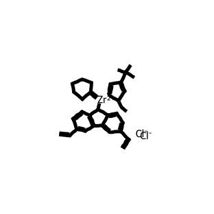 C=Cc1ccc2c(c1)-c1cc(C=C)ccc1[CH]2[Zr+2]([C]1=CC(C(C)(C)C)=CC1CC)=[C]1CCCCC1.[Cl-].[Cl-]